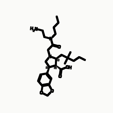 CCCCN(CCN)C(=O)CN1C[C@H](c2ccc3c(c2)OCO3)[C@@H](C(=O)O)[C@@H]1CC(C)(C)CCC